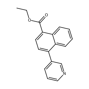 CCOC(=O)c1ccc(-c2cccnc2)c2ccccc12